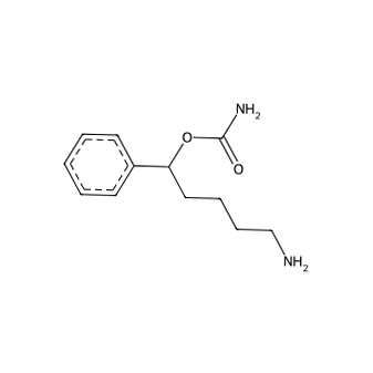 NCCCCC(OC(N)=O)c1ccccc1